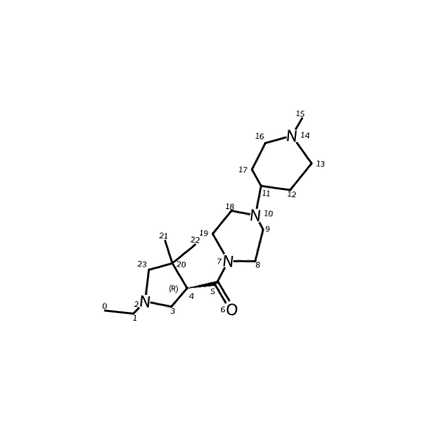 CCN1C[C@H](C(=O)N2CCN(C3CCN(C)CC3)CC2)C(C)(C)C1